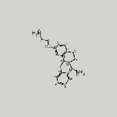 NCCOc1ccc2c(c1)C(Cc1ccccc1)C(CN)CC2